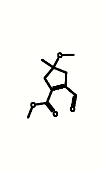 COC(=O)C1=C(C=O)CC(C)(OC)C1